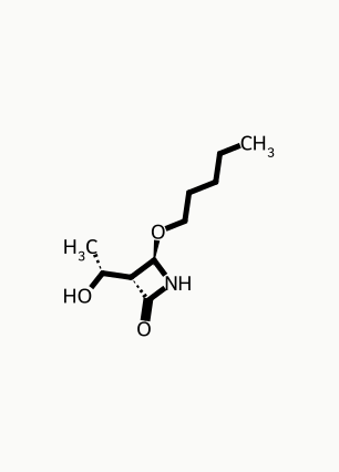 CCCCCO[C@H]1NC(=O)[C@@H]1[C@@H](C)O